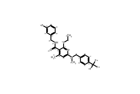 CCSc1nc(N(C)Cc2ccc(C(F)(F)F)cc2)cc(C)c1C(=O)NCc1cccc(F)c1